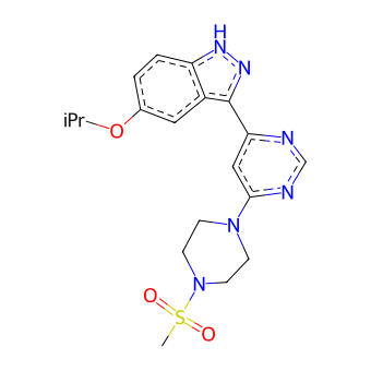 CC(C)Oc1ccc2[nH]nc(-c3cc(N4CCN(S(C)(=O)=O)CC4)ncn3)c2c1